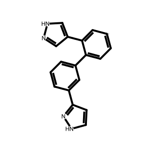 [c]1ccc(-c2cccc(-c3cc[nH]n3)c2)c(-c2cn[nH]c2)c1